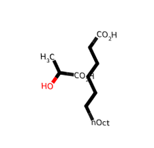 CC(O)C(=O)O.CCCCCCCCCCCCCC(=O)O